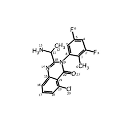 Cc1c(F)cc(F)cc1-n1c(C(C)N)nc2cccc(Cl)c2c1=O